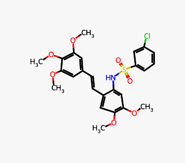 COc1cc(C=Cc2cc(OC)c(OC)c(OC)c2)c(NS(=O)(=O)c2cccc(Cl)c2)cc1OC